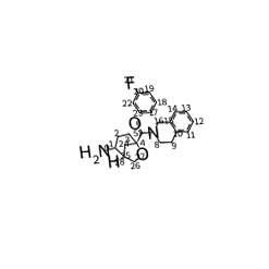 NC1CC[C@@]2(C(=O)N3CCc4ccccc4[C@H]3c3ccc(F)cc3)C[C@H]1CO2